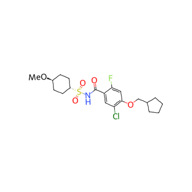 CO[C@H]1CC[C@H](S(=O)(=O)NC(=O)c2cc(Cl)c(OCC3CCCC3)cc2F)CC1